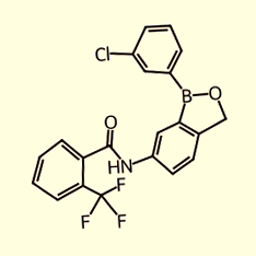 O=C(Nc1ccc2c(c1)B(c1cccc(Cl)c1)OC2)c1ccccc1C(F)(F)F